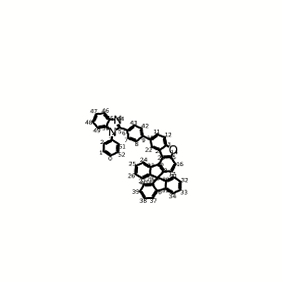 c1ccc(-n2c(-c3ccc(-c4ccc5oc6ccc7c(c6c5c4)-c4ccccc4C74c5ccccc5-c5ccccc54)cc3)nc3ccccc32)cc1